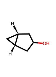 OC1C[C@@H]2C[C@@H]2C1